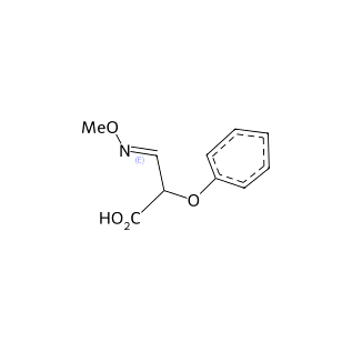 CO/N=C/C(Oc1ccccc1)C(=O)O